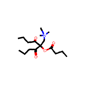 CCCC(=O)OC(C[N+](C)(C)C)(C(=O)CCC)C(=O)CCC